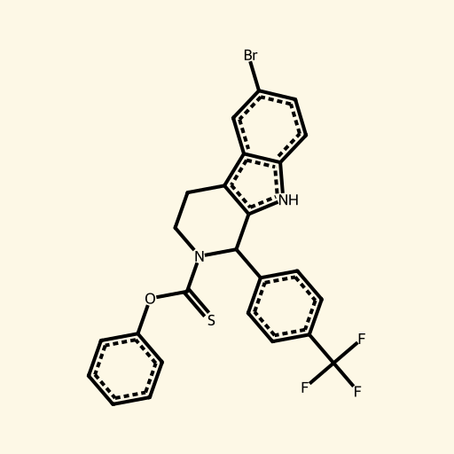 FC(F)(F)c1ccc(C2c3[nH]c4ccc(Br)cc4c3CCN2C(=S)Oc2ccccc2)cc1